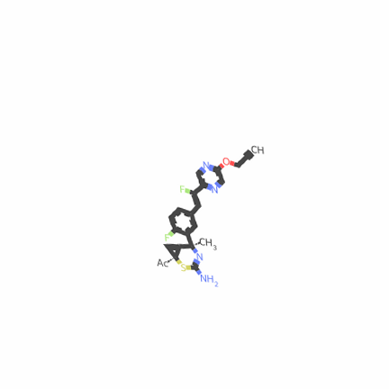 C#CCOc1cnc(/C(F)=C/c2ccc(F)c([C@@]3(C)N=C(N)S[C@@]4(C(C)=O)C=C43)c2)cn1